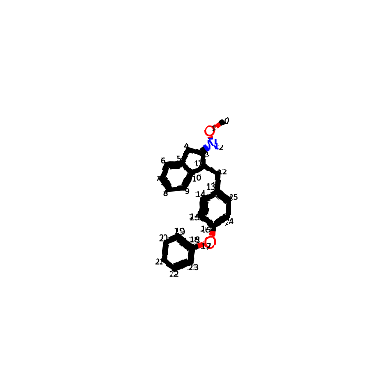 CO/N=C1\Cc2ccccc2C1Cc1ccc(Oc2ccccc2)cc1